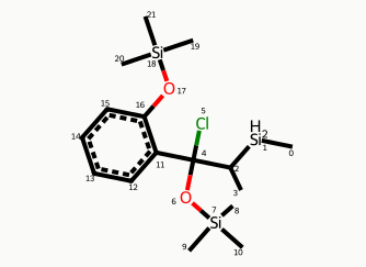 C[SiH2]C(C)C(Cl)(O[Si](C)(C)C)c1ccccc1O[Si](C)(C)C